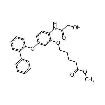 COC(=O)CCCCOc1cc(Oc2ccccc2-c2ccccc2)ccc1NC(=O)CO